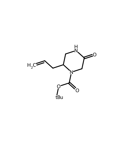 C=CCC1CNC(=O)CN1C(=O)OC(C)(C)C